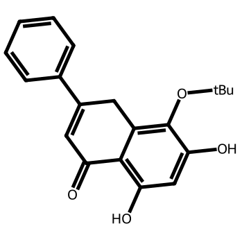 CC(C)(C)Oc1c(O)cc(O)c2c1CC(c1ccccc1)=CC2=O